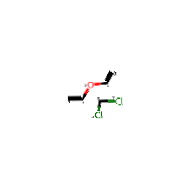 C=COC=C.ClCCl